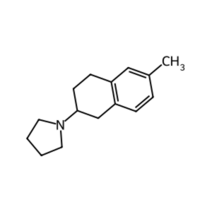 Cc1ccc2c(c1)CCC(N1CCCC1)C2